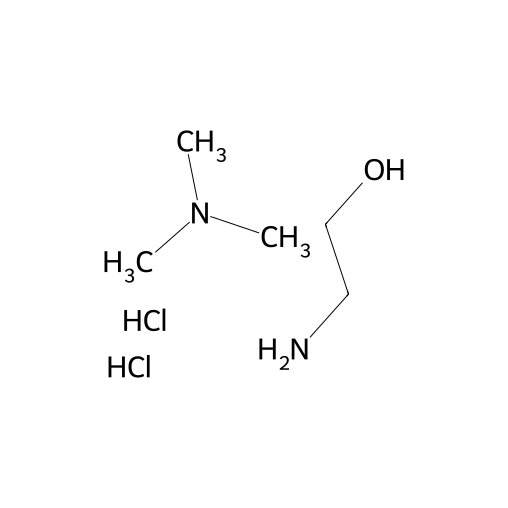 CN(C)C.Cl.Cl.NCCO